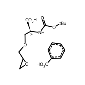 CC(C)(C)OC(=O)N[C@@H](COCC1CO1)C(=O)O.O=C(O)c1ccccc1